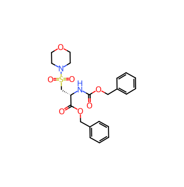 O=C(N[C@@H](CS(=O)(=O)N1CCOCC1)C(=O)OCc1ccccc1)OCc1ccccc1